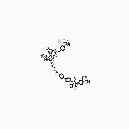 Cc1ncoc1-c1ccc(CNC(=O)[C@@H]2C[C@@H](O)CN2C(=O)[C@@H](NC(=O)COCCCCOc2ccc(-c3ccc(N4C(=S)N(c5ccc(C#N)c(C(F)(F)F)c5)C(=O)C45CCC5)cc3)cc2)C(C)(C)C)cc1